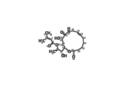 CC(C)=CC(=O)O[C@H](C)[C@@H](O)C1C[C@H](O)C(=O)NC/C=C\CCCCC(=O)O1